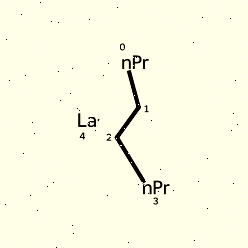 CCCCCCCC.[La]